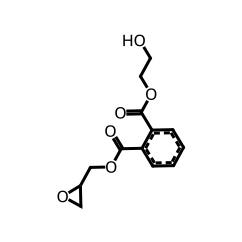 O=C(OCCO)c1ccccc1C(=O)OCC1CO1